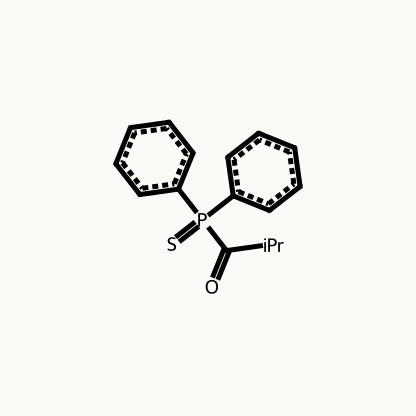 CC(C)C(=O)P(=S)(c1ccccc1)c1ccccc1